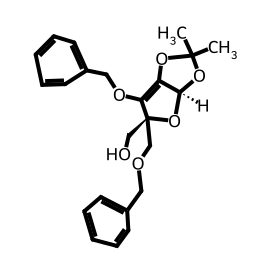 CC1(C)OC2=C(OCc3ccccc3)[C@@](CO)(COCc3ccccc3)O[C@@H]2O1